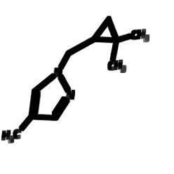 Cc1cnn(CC2CC2(C)C)c1